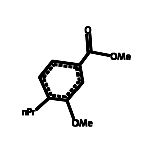 CCCc1ccc(C(=O)OC)cc1OC